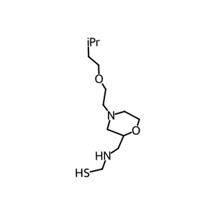 CC(C)CCOCCN1CCOC(CNCS)C1